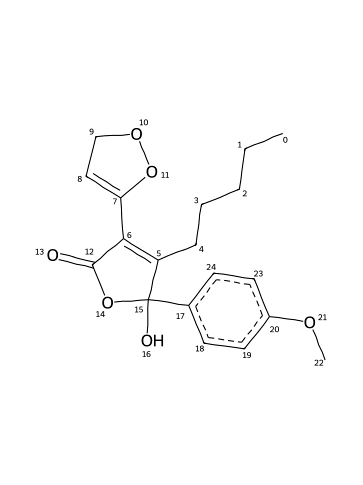 CCCCCC1=C(C2=CCOO2)C(=O)OC1(O)c1ccc(OC)cc1